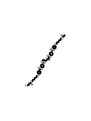 C=CC(=O)OCCCCCCOc1ccc(OC(=O)[C@H]2CC[C@H](OC(=O)/C(C)=C/C=C(\C=C)OC(=O)[C@H]3CC[C@H](OC(=O)c4ccc(OCCCCCCOC(=O)CCCl)cc4)CC3)CC2)cc1